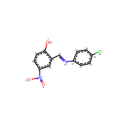 O=[N+]([O-])c1ccc(O)c(C=Nc2ccc(Cl)cc2)c1